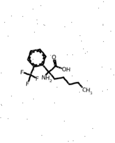 CCCCCC(N)(C(=O)O)c1ccccc1C(F)(F)F